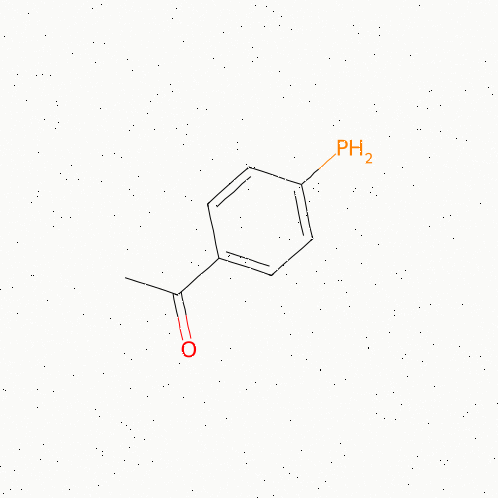 CC(=O)c1ccc(P)cc1